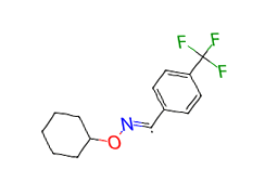 FC(F)(F)c1ccc(/[C]=N/OC2CCCCC2)cc1